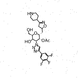 CC(=O)O[C@@H]1[C@@H](n2cc(-c3cc(F)c(F)c(F)c3)nn2)[C@@H](O)[C@@H](CO)O[C@@H]1CC1CC(C2CCNCC2)=NO1